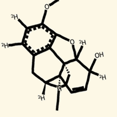 [2H]c1c([2H])c(OC)c2c3c1C[C@]1([2H])[C@@H]4C=CC([2H])(O)C([2H])(O2)[C@]34CCN1C